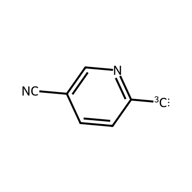 [3C]c1ccc(C#N)cn1